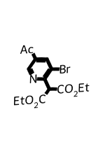 CCOC(=O)C(C(=O)OCC)c1ncc(C(C)=O)cc1Br